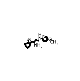 COc1ccc(NCCC(N)c2nsc3ccccc23)nc1